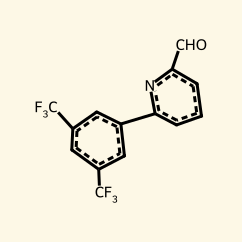 O=Cc1cccc(-c2cc(C(F)(F)F)cc(C(F)(F)F)c2)n1